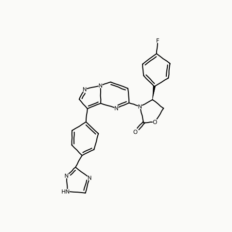 O=C1OC[C@H](c2ccc(F)cc2)N1c1ccn2ncc(-c3ccc(-c4nc[nH]n4)cc3)c2n1